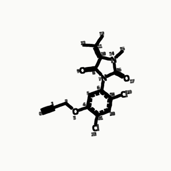 C#CCOc1cc(N2C(=O)C(=C(C)C)N(C)C2=O)c(Cl)cc1Cl